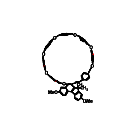 COc1ccc2c(c1)C(C)(C)c1c-2c2ccc(OC)cc2c2oc3ccc(cc3)oc3ccc(cc3)oc3ccc(cc3)oc3ccc(cc3)oc3ccc(cc3)oc3ccc(cc3)oc3ccc(cc3)ccc12